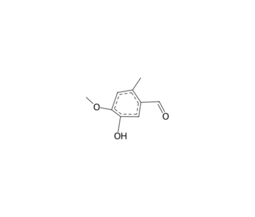 COc1cc(C)c(C=O)cc1O